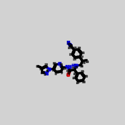 Cc1cnn(-c2ccc(NC(=O)C(NCC(C)c3ccc(C#N)cc3)c3ccccc3)nc2)c1